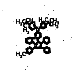 Cc1ccc(-c2cc(-c3ccccc3)c(-c3ccccc3)c3c4ccc(N(C5=CCC(C(C)(C)C)C=C5)c5ccc(C(C)(C)C)cc5)cc4c4ccccc4c23)cc1